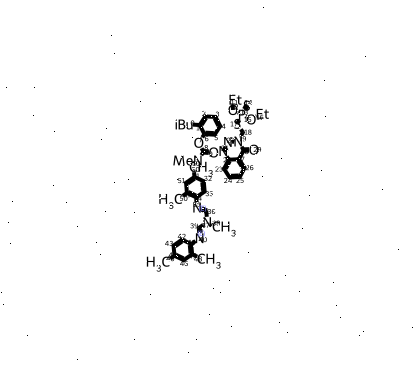 CCC(C)c1ccccc1OC(=O)NC.CCOP(=S)(OCC)SCn1nnc2ccccc2c1=O.Cc1ccc(/N=C/N(C)/C=N/c2ccc(C)cc2C)c(C)c1